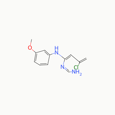 C=C(Cl)/C=C(\N=C/N)Nc1cccc(OC)c1